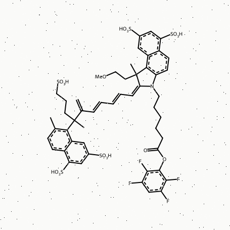 C=C(/C=C/C=C/C=C1/N(CCCCCC(=O)Oc2c(F)c(F)cc(F)c2F)c2ccc3c(S(=O)(=O)O)cc(S(=O)(=O)O)cc3c2C1(C)CCOC)C(C)(CCCS(=O)(=O)O)c1c(C)ccc2c(S(=O)(=O)O)cc(S(=O)(=O)O)cc12